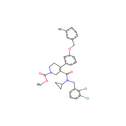 CC(C)(C)OC(=O)N1CCC(c2cccc(OCc3cccc(C#N)c3)c2)=C(C(=O)N(Cc2cccc(Cl)c2Cl)C2CC2)C1